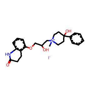 C[N+]1(CC(O)COc2cccc3c2CCC(=O)N3)CCC(O)(c2ccccc2)CC1.[I-]